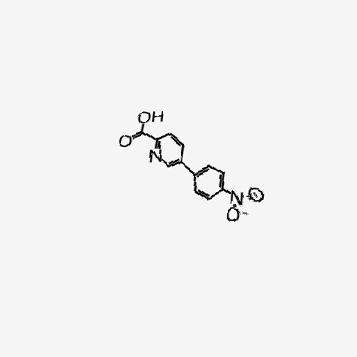 O=C(O)c1ccc(-c2ccc([N+](=O)[O-])cc2)cn1